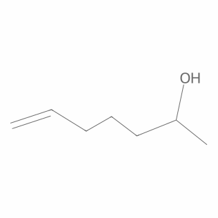 C=CCCCC(C)O